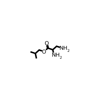 CC(C)COC(=O)C(N)CN